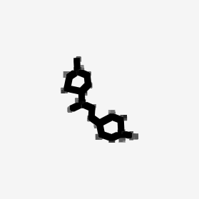 CN1CCC(N(C)CCC2CCN(I)CC2)CC1